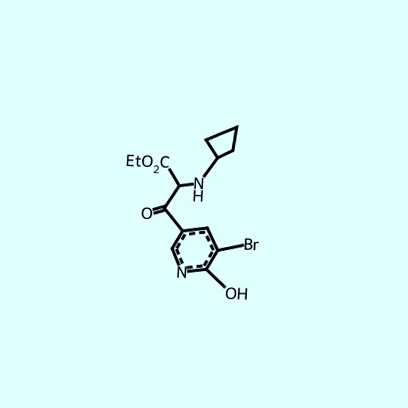 CCOC(=O)C(NC1CCC1)C(=O)c1cnc(O)c(Br)c1